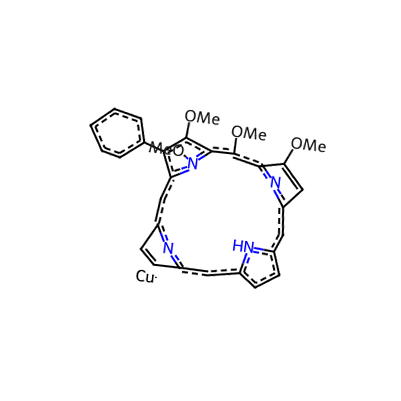 COC1=Cc2cc3ccc(cc4nc(cc5c(-c6ccccc6)c(OC)c(c(OC)c1n2)n5OC)C=C4)[nH]3.[Cu]